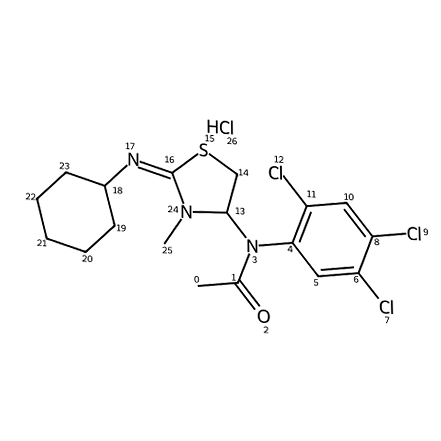 CC(=O)N(c1cc(Cl)c(Cl)cc1Cl)C1CSC(=NC2CCCCC2)N1C.Cl